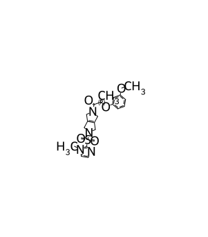 COc1cccc(O[C@H](C)C(=O)N2CC3=C(C2)CN(S(=O)(=O)c2nccn2C)C3)c1